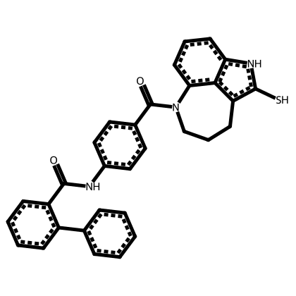 O=C(Nc1ccc(C(=O)N2CCCc3c(S)[nH]c4cccc2c34)cc1)c1ccccc1-c1ccccc1